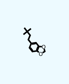 CC(C)(C)CCc1ccc2c(c1)OCO2